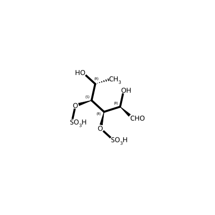 C[C@@H](O)[C@H](OS(=O)(=O)O)[C@H](OS(=O)(=O)O)[C@@H](O)C=O